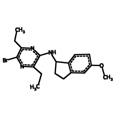 CCc1nc(NC2CCc3cc(OC)ccc32)c(CC)nc1Br